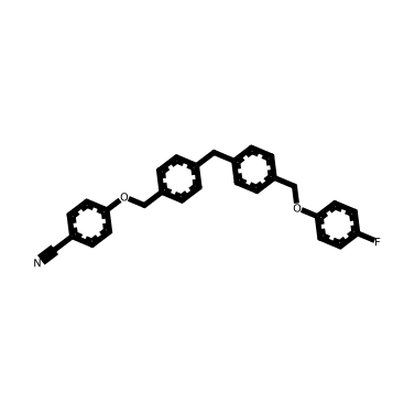 N#Cc1ccc(OCc2ccc(Cc3ccc(COc4ccc(F)cc4)cc3)cc2)cc1